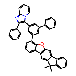 CC1(C)c2ccccc2-c2cc3oc4c(-c5cc(-c6ccccc6)cc(-c6c(-c7ccccc7)nc7ccccn67)c5)cccc4c3cc21